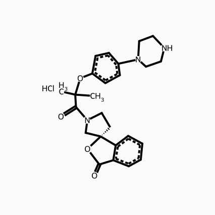 CC(C)(Oc1ccc(N2CCNCC2)cc1)C(=O)N1CC[C@@]2(C1)OC(=O)c1ccccc12.Cl